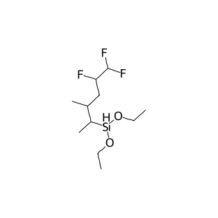 CCO[SiH](OCC)C(C)C(C)CC(F)C(F)F